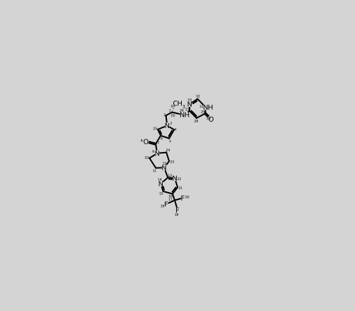 C[C@@H](Cn1ccc(C(=O)N2CCN(c3ncc(C(F)(F)F)cn3)CC2)c1)Nc1cc(=O)[nH]cn1